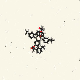 N#Cc1cc(-n2c3ccc(C(F)(F)F)cc3c3cc(C(F)(F)F)ccc32)c(-n2c3ccc(C(F)(F)F)cc3c3cc(C(F)(F)F)ccc32)cc1-c1c(C(F)(F)F)cccc1C(F)(F)F